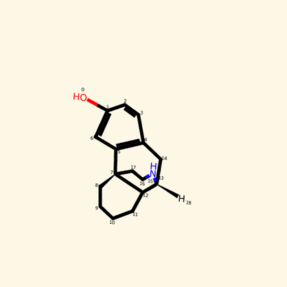 Oc1ccc2c(c1)[C@@]13CCCCC1[C@@H](C2)NCC3